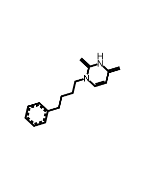 C=C1C=CN(CCCCc2ccccc2)C(=C)N1